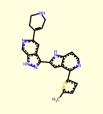 Cc1ccc(-c2nccc3[nH]c(-c4n[nH]c5cnc(C6=CCNCC6)cc45)cc23)s1